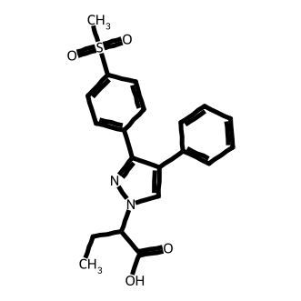 CCC(C(=O)O)n1cc(-c2ccccc2)c(-c2ccc(S(C)(=O)=O)cc2)n1